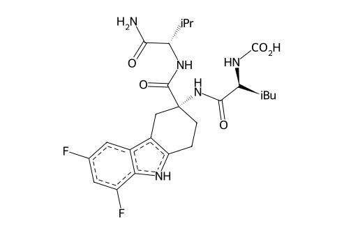 CC[C@H](C)[C@H](NC(=O)O)C(=O)N[C@]1(C(=O)N[C@H](C(N)=O)C(C)C)CCc2[nH]c3c(F)cc(F)cc3c2C1